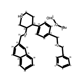 CC(C)(C)OC=O.c1cncc(COCc2ccc(C3CCNCC3OCc3ccc4ccccc4c3)cc2)c1